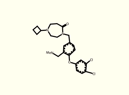 CNCc1cc(CN2CCN(C3CCC3)CCC2=O)ccc1Oc1ccc(Cl)c(Cl)c1